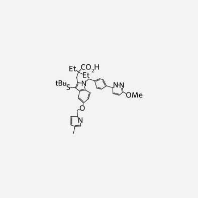 CCC(CC)(Cc1c(SC(C)(C)C)c2cc(OCc3ccc(C)cn3)ccc2n1Cc1ccc(-c2ccc(OC)nn2)cc1)C(=O)O